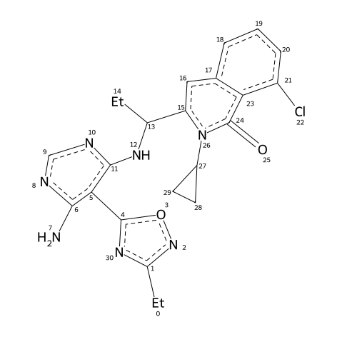 CCc1noc(-c2c(N)ncnc2NC(CC)c2cc3cccc(Cl)c3c(=O)n2C2CC2)n1